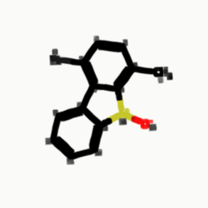 CCc1ccc(C)c2c1c1ccccc1[s+]2[O-]